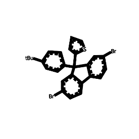 CC(C)(C)c1ccc(C2(c3cccs3)c3cc(Br)ccc3-c3ccc(Br)cc32)cc1